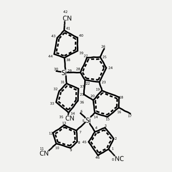 [C-]#[N+]c1ccc([Si](C)(c2ccc([N+]#[C-])cc2)c2cc(C)cc3c2Cc2c-3cc(C)cc2[Si](C)(c2ccc(C#N)cc2)c2ccc(C#N)cc2)cc1